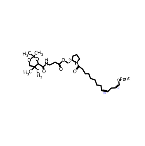 CCCCC/C=C\C/C=C\CCCCCCCC(=O)N1CCC[C@H]1COC(=O)CCNC(=O)C1OC(C)(C)OCC1(C)C